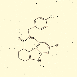 CCc1ccc(COC(=O)C2CCCc3[nH]c4cc(Br)cc(Br)c4c32)cc1